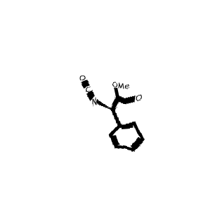 COC(=O)[C@H](N=C=O)c1ccccc1